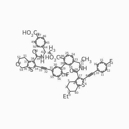 CCC1CCc2c(sc(C#Cc3ccc(F)cc3)c2C(=O)N[C@@H](C)c2ccc(C(=O)O)c(-c3cc(C#Cc4sc5c(c4C(=O)N[C@@H](C)c4ccc(C(=O)O)cc4)CCOC5)ccc3F)c2)C1